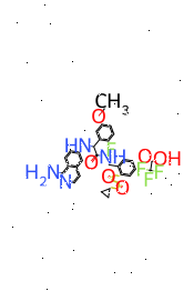 CCOc1ccc(F)c(C(Nc2ccc3c(N)nccc3c2)C(=O)NCc2ccccc2S(=O)(=O)C2CC2)c1.O=C(O)C(F)(F)F